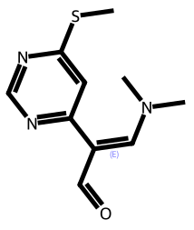 CSc1cc(/C(C=O)=C\N(C)C)ncn1